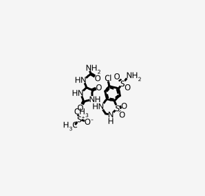 C[S+](C)[O-].NC(=O)NC1NC(=O)NC1=O.NS(=O)(=O)c1cc2c(cc1Cl)NCNS2(=O)=O